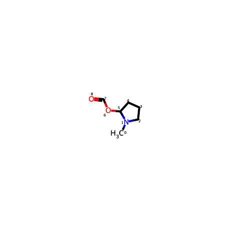 CN1CCCC1OC=O